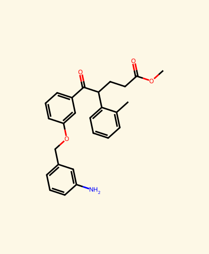 COC(=O)CCC(C(=O)c1cccc(OCc2cccc(N)c2)c1)c1ccccc1C